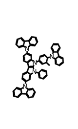 CC1C=C(n2c3cc(-n4c5ccccc5c5ccccc54)ccc3c3c4ccc(-n5c6ccccc6c6ccccc65)cc4n(-c4ccccc4)c32)C=CC1n1c2ccccc2c2ccccc21